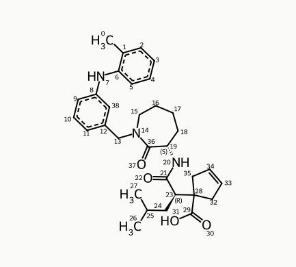 Cc1ccccc1Nc1cccc(CN2CCCC[C@H](NC(=O)[C@H](CC(C)C)C3(C(=O)O)CC=CC3)C2=O)c1